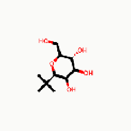 CC(C)(C)[C@H]1OC(CO)[C@H](O)C(O)C1O